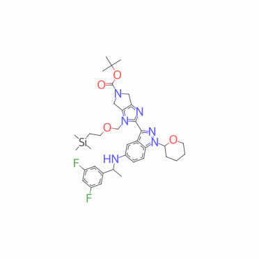 CC(Nc1ccc2c(c1)c(-c1nc3c(n1COCC[Si](C)(C)C)CN(C(=O)OC(C)(C)C)C3)nn2C1CCCCO1)c1cc(F)cc(F)c1